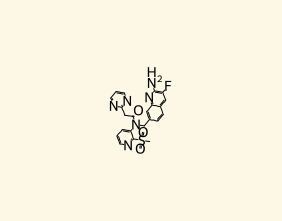 CS(=O)(=O)c1ncccc1N(Cc1ccc2cc(F)c(N)nc2c1)C(=O)Cc1ncccn1